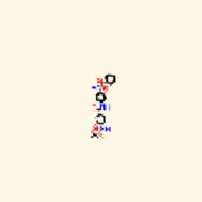 CC(C)(C)S(=O)(=O)N[C@H]1CC[C@H](C(=O)Nc2ccc(NS(=O)(=O)c3ccccc3)cc2)CC1